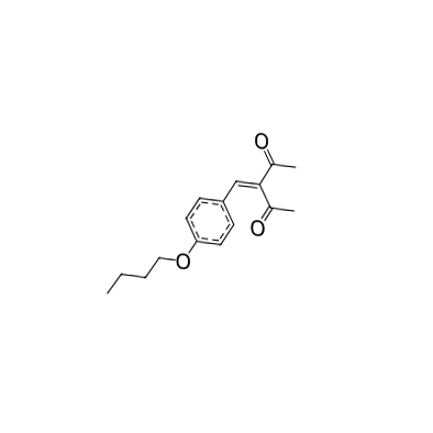 CCCCOc1ccc(C=C(C(C)=O)C(C)=O)cc1